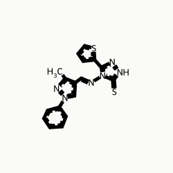 Cc1nn(-c2ccccc2)cc1C=Nn1c(-c2cccs2)n[nH]c1=S